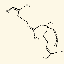 CC(C)=CCCC(C)(C=C=O)CC(C)=CCCC(C)=CC=O